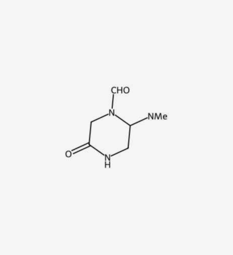 CNC1CNC(=O)CN1C=O